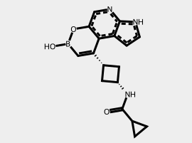 O=C(N[C@H]1C[C@@H](C2=CB(O)Oc3cnc4[nH]ccc4c32)C1)C1CC1